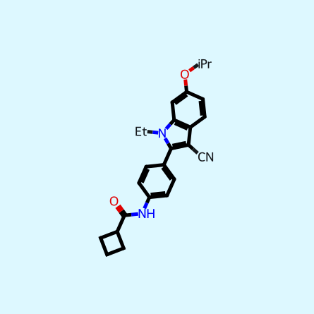 CCn1c(-c2ccc(NC(=O)C3CCC3)cc2)c(C#N)c2ccc(OC(C)C)cc21